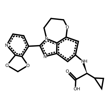 O=C(O)[C@@H](Nc1cc2c3c(c1)nc(-c1ccnc4c1OCO4)n3CCCO2)C1CC1